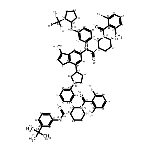 CC1=CCc2c1cc(NC(=O)[C@H]1CCCN(C(=O)c3c(C)cccc3F)[C@H]1c1ccc(NC3CCC[C@@H]3C(F)(F)F)cc1)cc2C1CCN(c2cccc([C@H]3[C@@H](C(=O)Nc4cccc(C(C)(C)C)c4)CCCN3C(=O)c3c(C)cccc3F)c2)C1